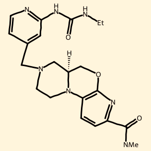 CCNC(=O)Nc1cc(CN2CCN3c4ccc(C(=O)NC)nc4OC[C@@H]3C2)ccn1